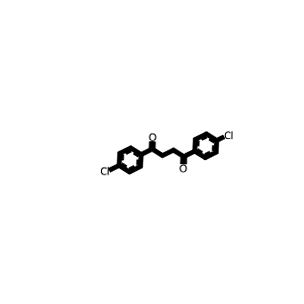 O=C(CCC(=O)c1ccc(Cl)cc1)c1ccc(Cl)cc1